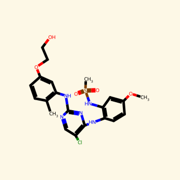 COc1ccc(Nc2nc(Nc3cc(OCCO)ccc3C)ncc2Cl)c(NS(C)(=O)=O)c1